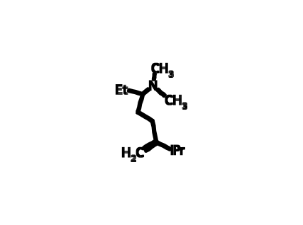 C=C(CCC(CC)N(C)C)C(C)C